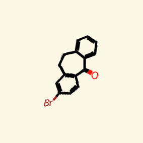 O=C1c2ccccc2CCc2cc(Br)ccc21